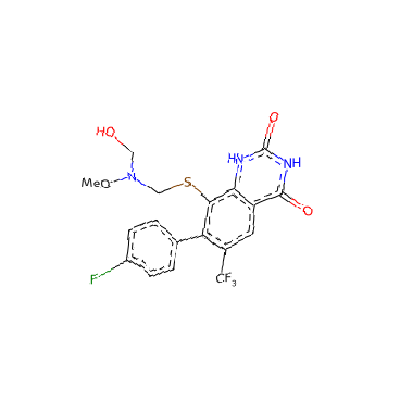 CON(CO)CSc1c(-c2ccc(F)cc2)c(C(F)(F)F)cc2c(=O)[nH]c(=O)[nH]c12